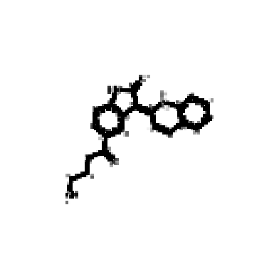 O=C1Nc2ccc(C(=O)CCCO)cc2C1=C1C=Cc2ccccc2N1